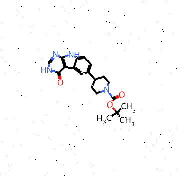 CC(C)(C)OC(=O)N1CCC(c2ccc3[nH]c4nc[nH]c(=O)c4c3c2)CC1